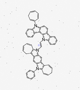 C1=CCC=C(n2c3ccccc3c3c4c(ccc32)c2ccccc2n4/C=C/n2c3c(c4cc5c(cc42)c2c(n5-c4ccccc4)C=CCC=C2)CC=CC=C3)C=C1